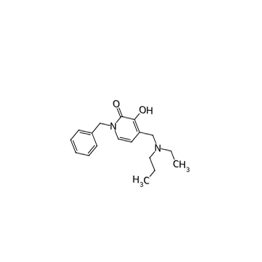 CCCN(CC)Cc1ccn(Cc2ccccc2)c(=O)c1O